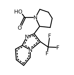 O=C(O)N1CCCCC1c1nc2ccccn2c1C(F)(F)F